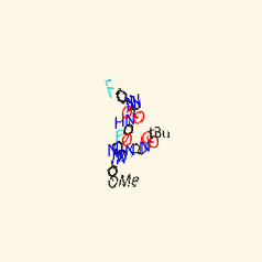 COc1ccc(Cn2nc(N3CCC4C(CCN4C(=O)OC(C)(C)C)C3)c3c(Oc4ccc(NC(=O)c5ccnn(-c6ccc(F)cc6)c5=O)cc4F)ccnc32)cc1